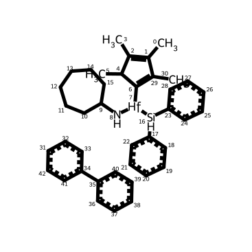 CC1=C(C)C(C)[C]([Hf]([NH]C2CCCCCC2)[SiH](c2ccccc2)c2ccccc2)=C1C.c1ccc(-c2ccccc2)cc1